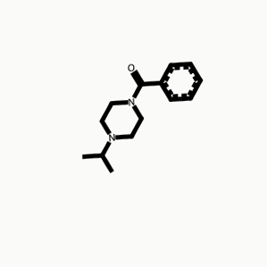 CC(C)N1CCN(C(=O)c2ccccc2)CC1